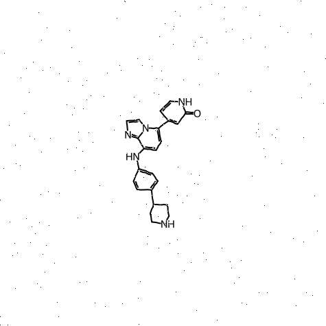 O=c1cc(-c2ccc(Nc3ccc(C4CCNCC4)cc3)c3nccn23)cc[nH]1